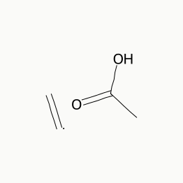 CC(=O)O.[CH]=C